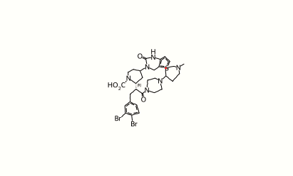 CN1CCC(N2CCN(C(=O)C(Cc3ccc(Br)c(Br)c3)[C@H]3CC(N4Cc5sccc5NC4=O)CCN3C(=O)O)CC2)CC1